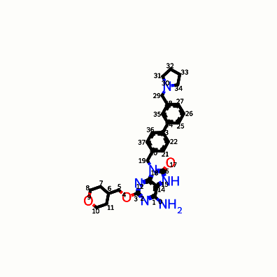 Nc1nc(OCC2CCOCC2)nc2c1[nH]c(=O)n2Cc1ccc(-c2cccc(CN3CCCC3)c2)cc1